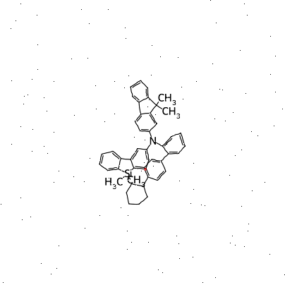 CC1(C)c2ccccc2-c2ccc(N(c3ccc4c(c3)-c3ccccc3[Si]4(C)C)c3ccccc3-c3ccc(C4CCCCC4)cc3)cc21